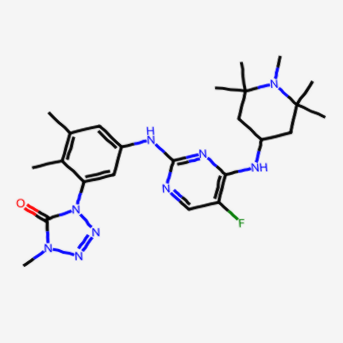 Cc1cc(Nc2ncc(F)c(NC3CC(C)(C)N(C)C(C)(C)C3)n2)cc(-n2nnn(C)c2=O)c1C